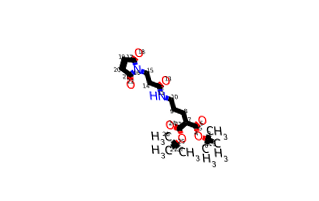 CC(C)(C)OC(=O)C(CCCNC(=O)CCN1C(=O)C=CC1=O)C(=O)OC(C)(C)C